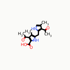 CC(=O)c1c(C)c[nH]c1Cc1[nH]c(C(=O)O)c(C(C)=O)c1C